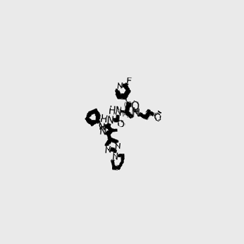 COCCN1C[C@@H](NC(=O)Nc2c(C)c(-c3cnc(N4CCCCC4)nc3)nn2-c2ccccc2)[C@H](c2ccnc(F)c2)O1